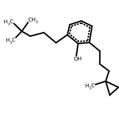 CC(C)(C)CCCc1cccc(CCCC2(C)CC2)c1O